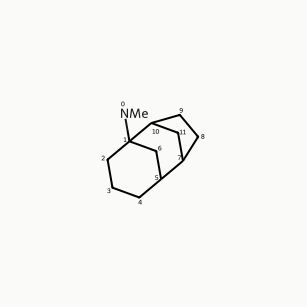 CNC12CCCC(C1)C1CCC2C1